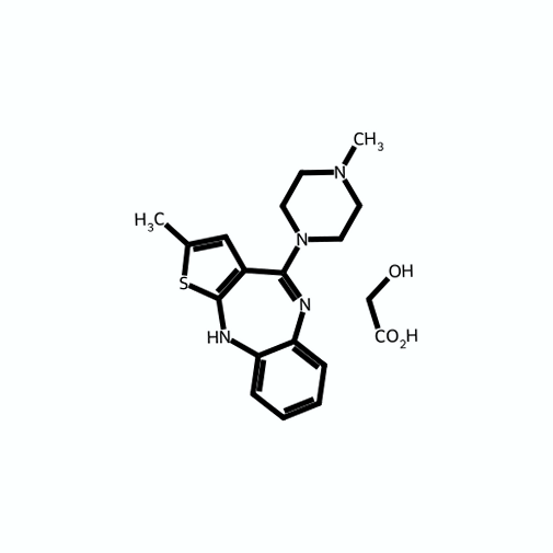 Cc1cc2c(s1)Nc1ccccc1N=C2N1CCN(C)CC1.O=C(O)CO